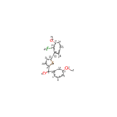 COc1cccc(C(=O)c2ccc(-c3cccc(OC)c3F)s2)c1